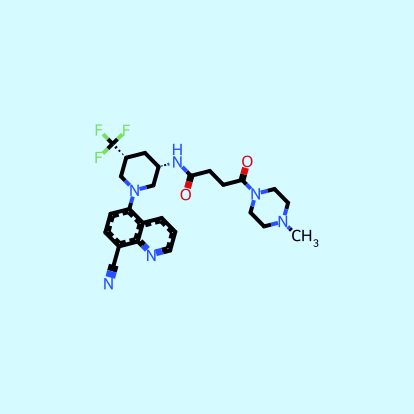 CN1CCN(C(=O)CCC(=O)N[C@H]2C[C@@H](C(F)(F)F)CN(c3ccc(C#N)c4ncccc34)C2)CC1